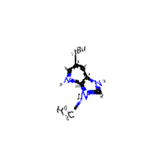 Cn1cnc2cc(C(C)(C)C)cnc21